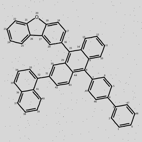 c1ccc(-c2ccc(-c3c4ccccc4c(-c4ccc5oc6ccccc6c5c4)c4cc(-c5cccc6ccccc56)ccc34)cc2)cc1